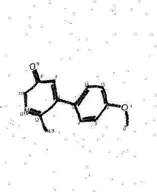 COc1ccc(C2=CC(=O)CN=C2C)cc1